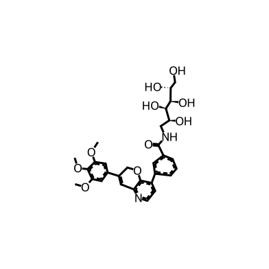 COc1cc(C2=Cc3nccc(-c4cccc(C(=O)NC[C@H](O)[C@@H](O)[C@H](O)[C@H](O)CO)c4)c3OC2)cc(OC)c1OC